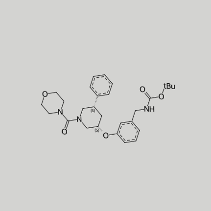 CC(C)(C)OC(=O)NCc1cccc(O[C@H]2C[C@@H](c3ccccc3)CN(C(=O)N3CCOCC3)C2)c1